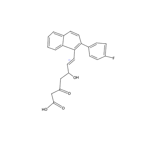 O=C(O)CC(=O)CC(O)/C=C/c1c(-c2ccc(F)cc2)ccc2ccccc12